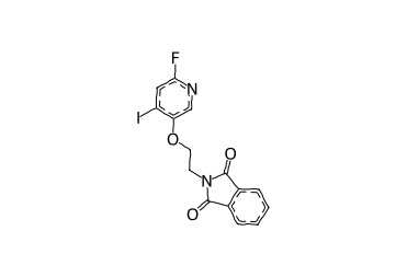 O=C1c2ccccc2C(=O)N1CCOc1cnc(F)cc1I